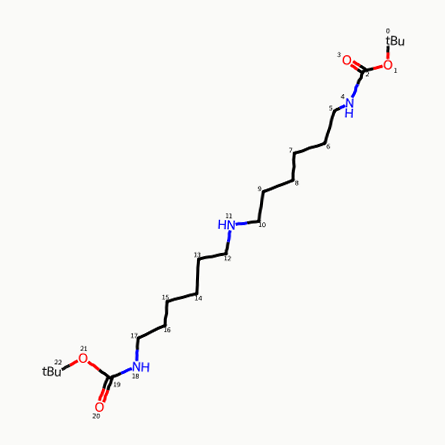 CC(C)(C)OC(=O)NCCCCCCNCCCCCCNC(=O)OC(C)(C)C